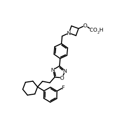 O=C(O)OC1CN(Cc2ccc(-c3noc(CCC4(c5cccc(F)c5)CCCCC4)n3)cc2)C1